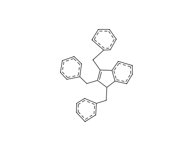 c1ccc(CC2=C(Cc3ccccc3)C(Cc3ccccc3)c3ccccc32)cc1